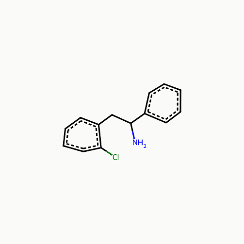 NC(Cc1ccccc1Cl)c1ccccc1